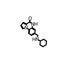 O=c1[nH]c2cc(CNC3CCCCC3)ccc2n2cccc12